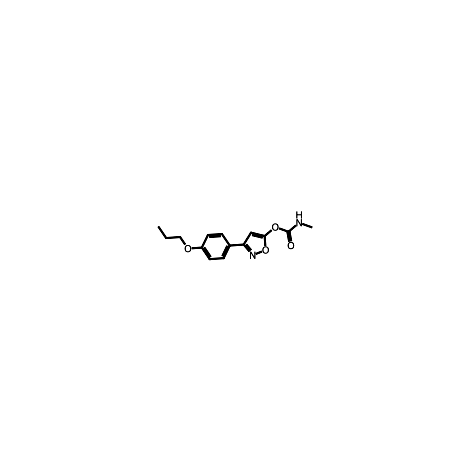 CCCOc1ccc(-c2cc(OC(=O)NC)on2)cc1